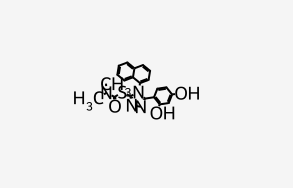 CN(C)C(=O)Sc1nnc(-c2ccc(O)cc2O)n1-c1cccc2ccccc12